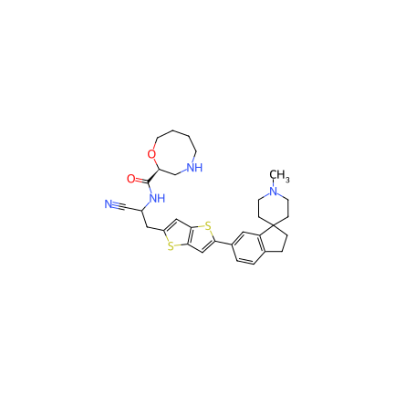 CN1CCC2(CCc3ccc(-c4cc5sc(CC(C#N)NC(=O)[C@@H]6CNCCCCO6)cc5s4)cc32)CC1